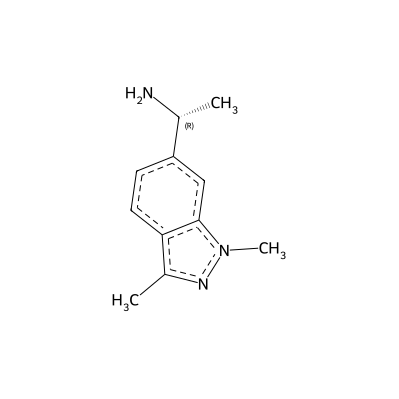 Cc1nn(C)c2cc([C@@H](C)N)ccc12